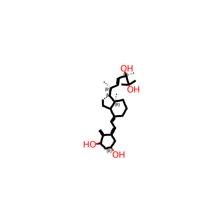 C=C1C(=CC=C2CCC[C@@]3(C)C2CC[C@@H]3[C@H](C)C=C[C@@](C)(O)C(C)(C)O)C[C@@H](O)CC1O